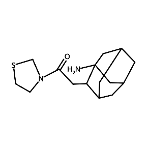 NC12CC3CC(CC(C3)C1CC(=O)N1CCSC1)C2